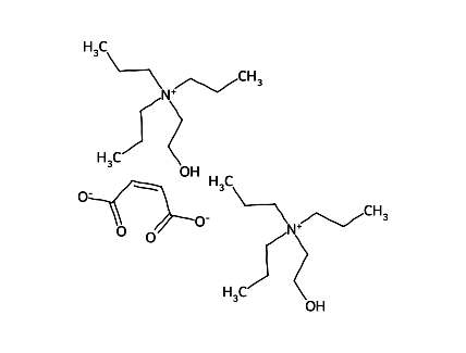 CCC[N+](CCC)(CCC)CCO.CCC[N+](CCC)(CCC)CCO.O=C([O-])/C=C\C(=O)[O-]